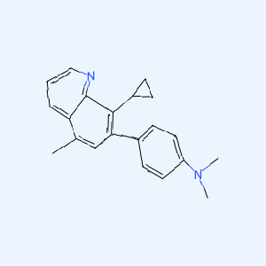 Cc1cc(-c2ccc(N(C)C)cc2)c(C2CC2)c2ncccc12